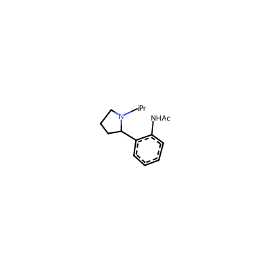 CC(=O)Nc1ccccc1C1CCCN1C(C)C